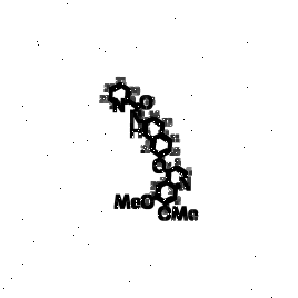 COc1cc2nccc(Oc3ccc4ccc(NC(=O)c5ccccn5)cc4c3)c2cc1OC